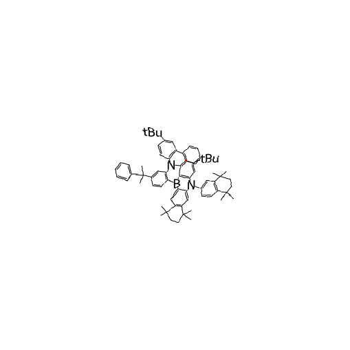 CC(C)(C)c1ccc(N2c3cc(C(C)(C)c4ccccc4)ccc3B3c4cc5c(cc4N(c4ccc6c(c4)C(C)(C)CCC6(C)C)c4cc(C(C)(C)C)cc2c43)C(C)(C)CCC5(C)C)c(-c2ccccc2)c1